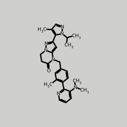 Cc1cc(CN2C(=O)CCn3nc(-c4c(C)cnn4C(C)C)cc32)ccc1-c1ncccc1N(C)C